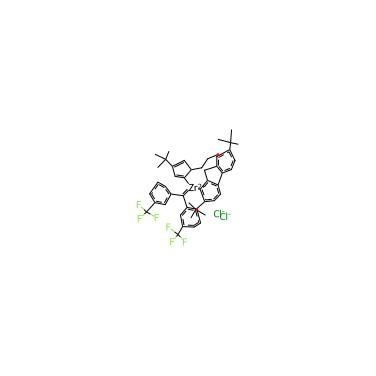 CCCC1C=C(C(C)(C)C)C=[C]1[Zr+2](=[C](c1cccc(C(F)(F)F)c1)c1cccc(C(F)(F)F)c1)[c]1c(C(C)(C)C)ccc2c1Cc1cc(C(C)(C)C)ccc1-2.[Cl-].[Cl-]